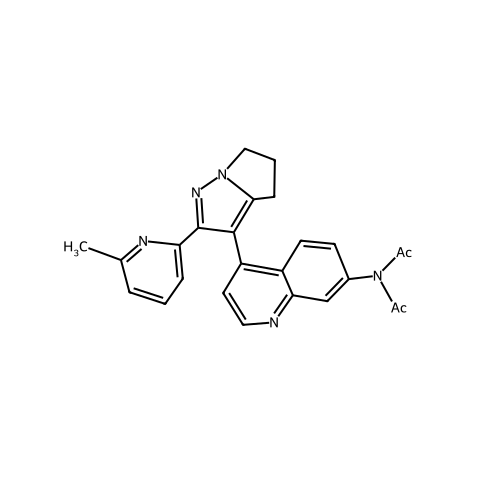 CC(=O)N(C(C)=O)c1ccc2c(-c3c(-c4cccc(C)n4)nn4c3CCC4)ccnc2c1